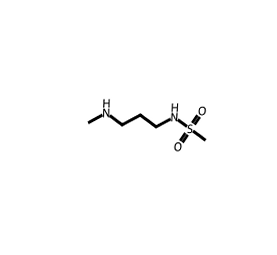 CNCCCNS(C)(=O)=O